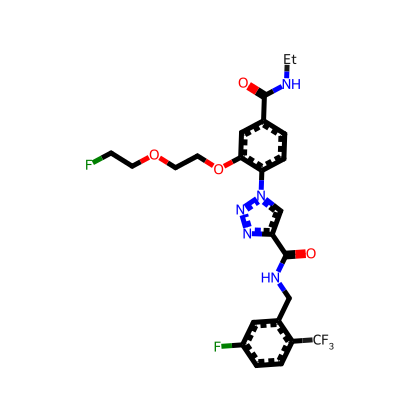 CCNC(=O)c1ccc(-n2cc(C(=O)NCc3cc(F)ccc3C(F)(F)F)nn2)c(OCCOCCF)c1